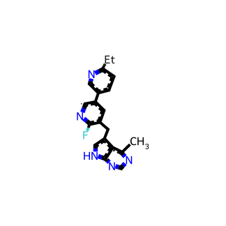 CCc1ccc(-c2[c]nc(F)c(Cc3c[nH]c4ncnc(C)c34)c2)cn1